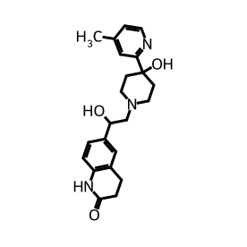 Cc1ccnc(C2(O)CCN(CC(O)c3ccc4c(c3)CCC(=O)N4)CC2)c1